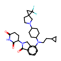 O=C1CCC(N2Cc3c(cccc3N(CCC3CC3)C3CCC(N4CCC5(C4)CC5(F)F)CC3)C2=O)C(=O)N1